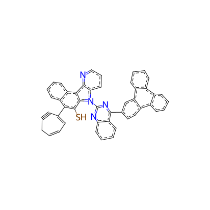 Sc1c(C2=CC=CCC#C2)c2ccccc2c2c3ncccc3n(-c3nc(-c4ccc5c6ccccc6c6ccccc6c5c4)c4ccccc4n3)c12